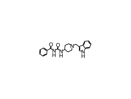 O=C(NC(=O)c1ccccc1)NC1CCN(Cc2c[nH]c3ccccc23)CC1